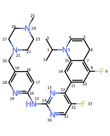 CC(C)N1C=CCc2c(F)cc(-c3nc(Nc4ccc(CN5CCN(C)CC5)cn4)ncc3F)cc21